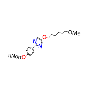 CCCCCCCCCOc1ccc(-c2ncc(OCCCCCCOC)cn2)cc1